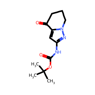 CC(C)(C)OC(=O)Nc1cc2n(n1)CCCC2=O